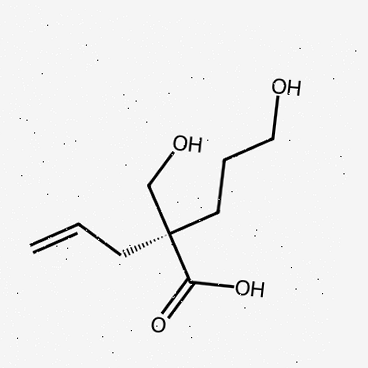 C=CC[C@](CO)(CCCO)C(=O)O